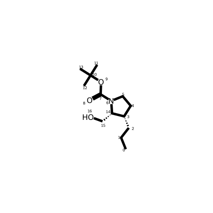 CCC[C@H]1CCN(C(=O)OC(C)(C)C)[C@H]1CO